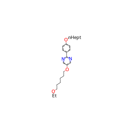 CCCCCCCOc1ccc(-c2ncc(OCCCCCCOCC)cn2)cc1